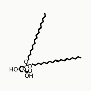 CCCCCC=CCC=CCCCCCCCCOC(OCCCCCCCCC=CCC=CCCCCC)[C@@H]1C[C@@H](O)CN1C(=O)O